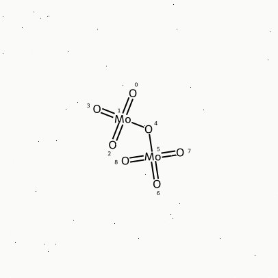 [O]=[Mo](=[O])(=[O])[O][Mo](=[O])(=[O])=[O]